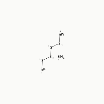 CCCSSSSCCC.[SiH4]